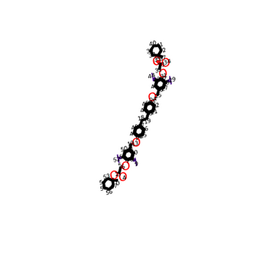 CC1(OC(=O)COc2c(I)cc(COc3ccc(CCc4ccc(OCc5cc(I)c(OCC(=O)OC6(C)CCCCC6)c(I)c5)cc4)cc3)cc2I)CCCCC1